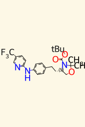 CC(C)(C)OC(=O)N1[C@@H](CCc2ccc(Nc3ccc(C(F)(F)F)cn3)cc2)COC1(C)C